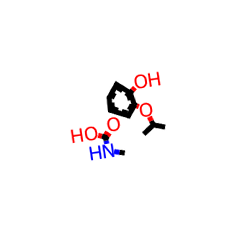 CC(C)Oc1ccccc1O.CNC(=O)O